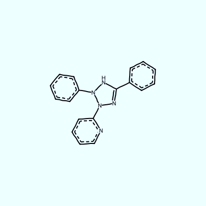 c1ccc(C2=NN(c3ccccn3)N(c3ccccc3)N2)cc1